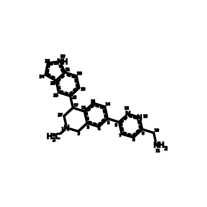 CN1Cc2cc(-c3ccc(CN)nn3)ccc2C(c2ccc3[nH]ccc3c2)C1